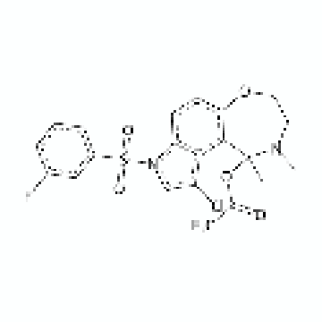 CN1CCOc2ccc3c(c(Cl)cn3S(=O)(=O)c3cccc(F)c3)c2C1(C)OC(=O)C(F)(F)F